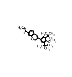 COC(=O)c1ccc2c(c1)OCC(c1cc(C(C)(C)C)c(OC)c(C(C)(C)C)c1)=C2